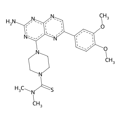 COc1ccc(-c2cnc3nc(N)nc(N4CCN(C(=S)N(C)C)CC4)c3n2)cc1OC